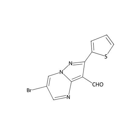 O=Cc1c(-c2cccs2)nn2cc(Br)cnc12